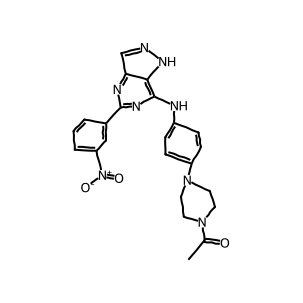 CC(=O)N1CCN(c2ccc(Nc3nc(-c4cccc([N+](=O)[O-])c4)nc4cn[nH]c34)cc2)CC1